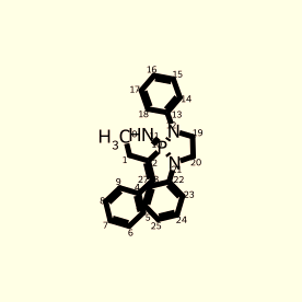 CC/C(=C\c1ccccc1)P1(=N)N(c2ccccc2)CCN1c1ccccc1